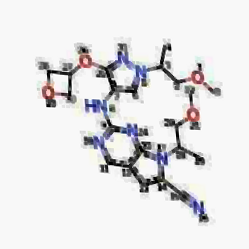 COCC(C)n1cc(Nc2ncc3cc(C#N)n(C(C)COC)c3n2)c(OC2COC2)n1